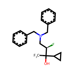 OC(C1CC1)([C@H](F)CN(Cc1ccccc1)Cc1ccccc1)C(F)(F)F